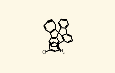 Cc1ccc2c(c1)C1(C3=C2C=CC#CC3)c2ccccc2-c2cccc(-c3ccc(Cl)cc3)c21